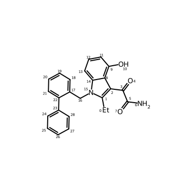 CCc1c(C(=O)C(N)=O)c2c(O)cccc2n1Cc1ccccc1-c1ccccc1